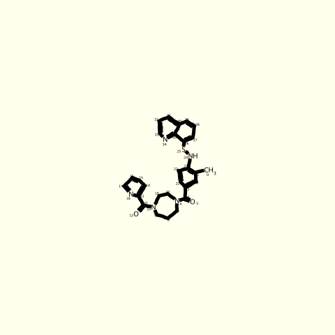 Cc1cc(C(=O)N2CCCN(C(=O)c3ccccn3)CC2)ccc1NSc1cccc2cccnc12